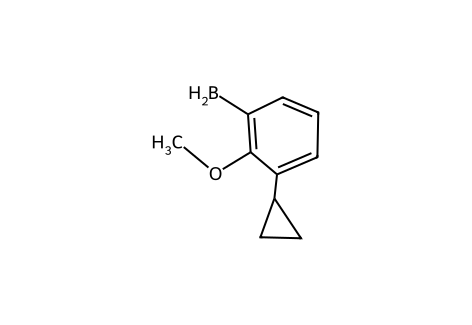 Bc1cccc(C2CC2)c1OC